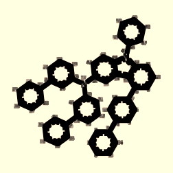 c1ccc(-c2ccc(-c3cccc4c3c3cc(N(c5cccc(-c6ccccc6)c5)c5cccc(-c6ccccc6)c5)ccc3n4-c3ccccc3)cc2)cc1